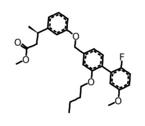 CCCCOc1cc(COc2cccc([C@H](C)CC(=O)OC)c2)ccc1-c1cc(OC)ccc1F